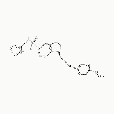 COc1ccc(NCCN2CCc3cc(S(=O)(=O)Nc4nccs4)ccc32)cc1